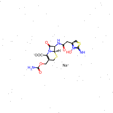 N=c1scc(CC(=O)NC2C(=O)N3C(C(=O)[O-])=C(COC(N)=O)CS[C@@H]23)n1O.[Na+]